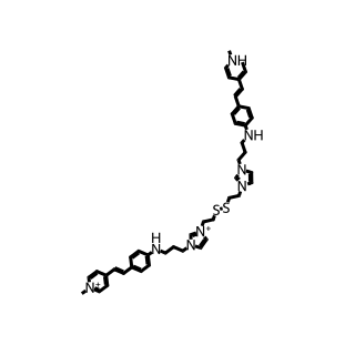 C/C=C(\C=C/NC)/C=C/c1ccc(NCCCn2cc[n+](CCSSCC[n+]3ccn(CCCNc4ccc(/C=C/c5cc[n+](C)cc5)cc4)c3)c2)cc1